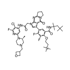 C[C@H]1CN(CC2COC2)CCN1c1cc(NC(=O)Cn2cc(-c3cc(C(=O)NC(C)(C)CC(C)(C)C)c(OCC[Si](C)(C)C)c(F)c3F)c3c(=O)n4c(nc32)CCC4)c(Cl)c(F)n1